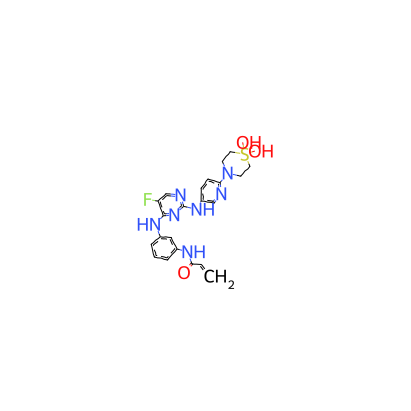 C=CC(=O)Nc1cccc(Nc2nc(Nc3ccc(N4CCS(O)(O)CC4)nc3)ncc2F)c1